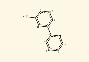 Fc1cncc(-c2cnccn2)c1